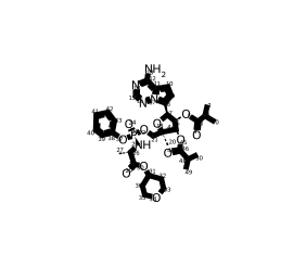 CC(C)C(=O)O[C@H]1[C@H](c2ccc3c(N)ncnn23)O[C@](C)(CO[P@](=O)(N[C@@H](C)C(=O)OC2CCOCC2)Oc2ccccc2)[C@H]1OC(=O)C(C)C